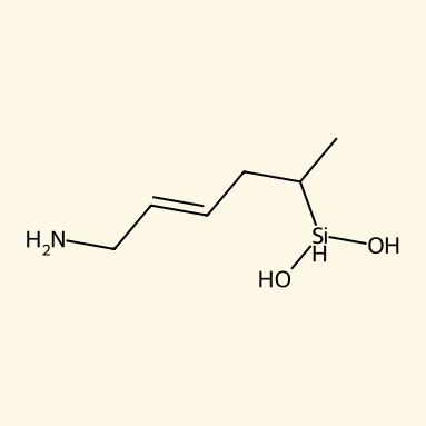 CC(CC=CCN)[SiH](O)O